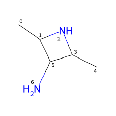 CC1NC(C)C1N